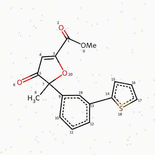 COC(=O)C1=CC(=O)C(C)(c2cccc(-c3cccs3)c2)O1